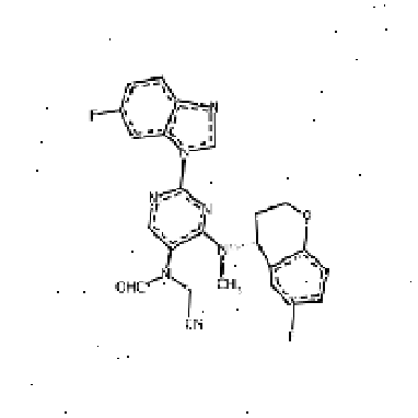 CN(c1nc(-n2cnc3ccc(F)cc32)ncc1N(C=O)CC#N)[C@@H]1CCOc2ccc(F)cc21